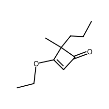 CCCC1(C)C(=O)C=C1OCC